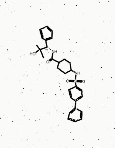 CC(C)(O)[C@@H](NC(=O)C1CCC(NS(=O)(=O)c2ccc(-c3ccccc3)cc2)CC1)c1ccccc1